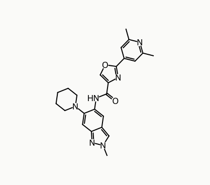 Cc1cc(-c2nc(C(=O)Nc3cc4cn(C)nc4cc3N3CCCCC3)co2)cc(C)n1